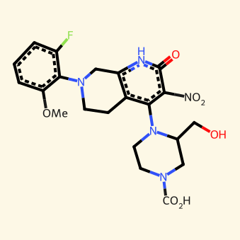 COc1cccc(F)c1N1CCc2c([nH]c(=O)c([N+](=O)[O-])c2N2CCN(C(=O)O)CC2CO)C1